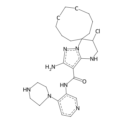 Nc1nn2c(c1C(=O)Nc1cnccc1N1CCNCC1)NCC(Cl)C21CCCCCCCCC1